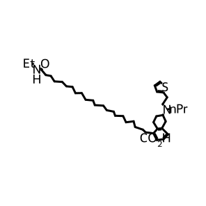 CCCN(CCc1cccs1)C1CCc2c(cccc2C(CCCCCCCCCCCCCCCCCCCCC(=O)NCC)C(=O)O)C1